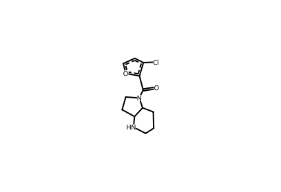 O=C(c1occc1Cl)N1CCC2NCCCC21